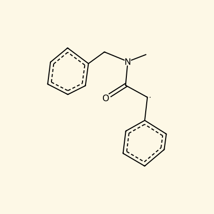 CN(Cc1ccccc1)C(=O)[CH]c1ccccc1